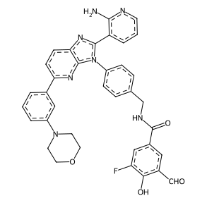 Nc1ncccc1-c1nc2ccc(-c3cccc(N4CCOCC4)c3)nc2n1-c1ccc(CNC(=O)c2cc(F)c(O)c(C=O)c2)cc1